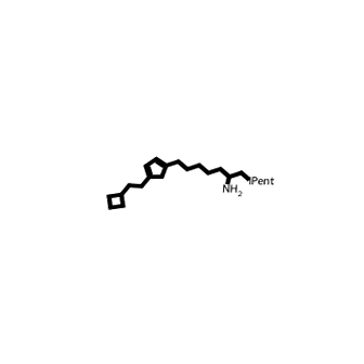 CCCC(C)CC(N)CCCCCC1=CC=C(CCC2CCC2)C1